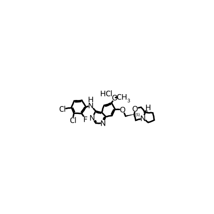 COc1cc2c(Nc3ccc(Cl)c(Cl)c3F)ncnc2cc1OC[C@@H]1CN2CCC[C@H]2CO1.Cl